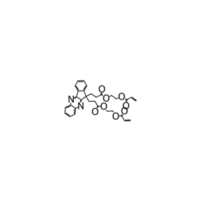 C=CC(=O)OCCOC(=O)CCC1(CCC(=O)OCCOC(=O)C=C)c2ccccc2-c2nc3ccccc3nc21